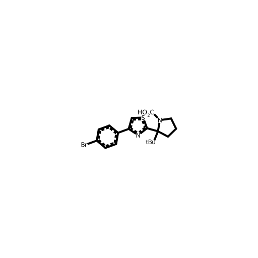 CC(C)(C)C1(c2nc(-c3ccc(Br)cc3)cs2)CCCN1C(=O)O